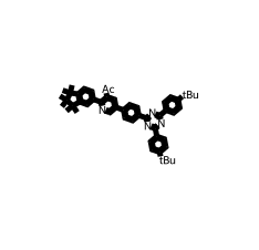 CC(=O)c1cc(-c2ccc(-c3nc(-c4ccc(C(C)(C)C)cc4)nc(-c4ccc(C(C)(C)C)cc4)n3)cc2)cnc1-c1ccc2c(c1)C(C)(C)C(C)(C)C2(C)C